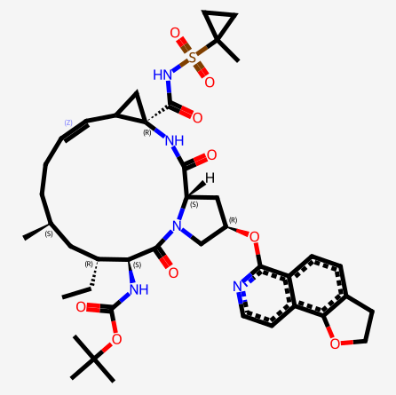 CC[C@@H]1C[C@@H](C)CC/C=C\C2C[C@@]2(C(=O)NS(=O)(=O)C2(C)CC2)NC(=O)[C@@H]2C[C@@H](Oc3nccc4c5c(ccc34)CCO5)CN2C(=O)[C@H]1NC(=O)OC(C)(C)C